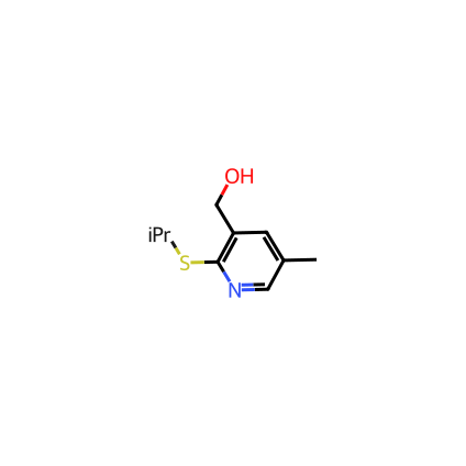 Cc1cnc(SC(C)C)c(CO)c1